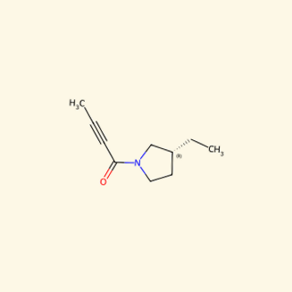 CC#CC(=O)N1CC[C@@H](CC)C1